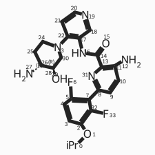 CC(C)Oc1ccc(F)c(-c2ccc(N)c(C(=O)Nc3cnccc3N3CC[C@@H](N)[C@H](O)C3)n2)c1F